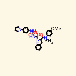 COc1ccc(N(C)C(=O)C(Cc2ccccc2)NC(=O)NS(=O)(=O)Nc2ccc(-n3cccc3)cc2)cc1